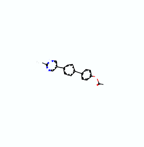 CCC(=O)Oc1ccc(-c2ccc(-c3cnc(C#N)nc3)cc2)cc1